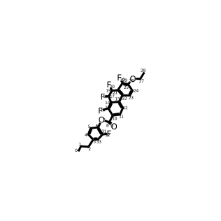 CCCc1ccc(OC(=O)c2ccc3c(c2F)C(F)C(F)c2c-3ccc(OCC)c2F)c(F)c1